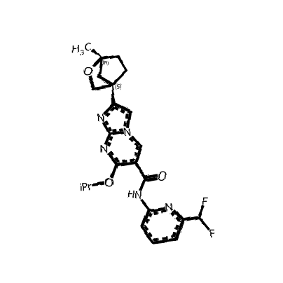 CC(C)Oc1nc2nc([C@]34CC[C@](C)(C3)OC4)cn2cc1C(=O)Nc1cccc(C(F)F)n1